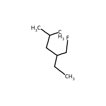 CCC(CF)CC(C)C